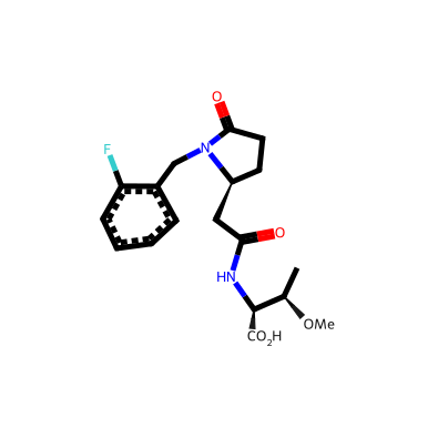 CO[C@H](C)[C@H](NC(=O)C[C@@H]1CCC(=O)N1Cc1ccccc1F)C(=O)O